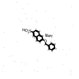 O=S(=O)(O)c1ccc2cc(OCc3ccccc3)ccc2c1.[NaH]